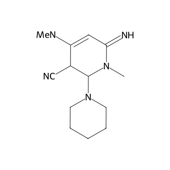 CNC1=CC(=N)N(C)C(N2CCCCC2)C1C#N